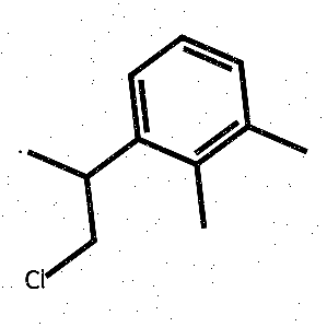 [CH2]C(CCl)c1cccc(C)c1C